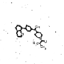 CC(C)C(=O)N1CCC(C(O)c2ccc(-c3cccc4cccnc34)cc2)CC1